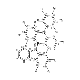 Cc1cc2c3c(c1)N(c1c(C)c(C)c(C)c(C)c1C)c1c(C)c(C)c(C)c(C)c1B3n1c3ccccc3c3c(C)c(C)c(C)c-2c31